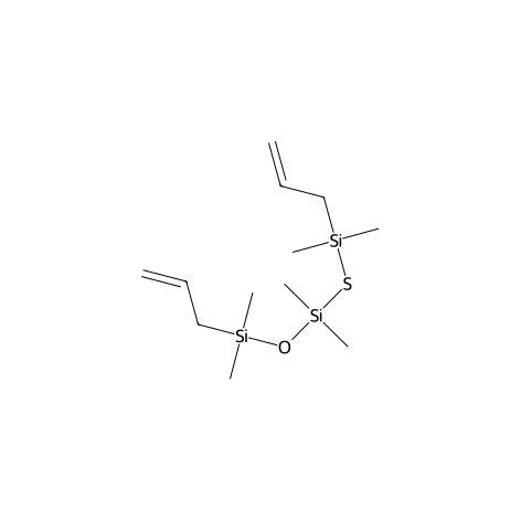 C=CC[Si](C)(C)O[Si](C)(C)S[Si](C)(C)CC=C